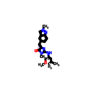 COC[C@@H](CC(C)C)NC1=N/C(=C\c2ccc3nn(C)cc3c2)C(=O)N1C